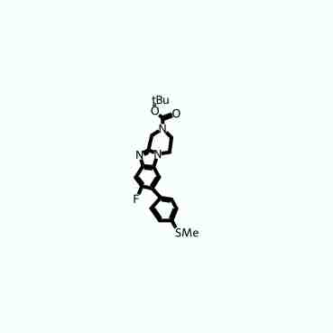 CSc1ccc(-c2cc3c(cc2F)nc2n3CCN(C(=O)OC(C)(C)C)C2)cc1